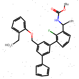 CCCC(NC(=O)OC(C)(C)C)c1cccc(-c2cc(COc3ccccc3CC(=O)O)cc(-c3ccccc3)c2)c1F